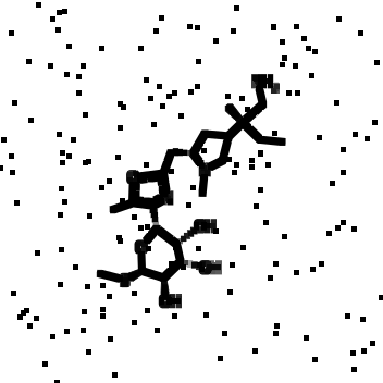 CC[C@@](C)(CN)C1C[C@@H](Cc2nc([C@H]3O[C@H](SC)[C@H](O)[C@@H](O)[C@H]3O)c(C)o2)N(C)C1